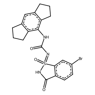 O=C(N=S1(=O)NC(=O)c2ccc(Br)cc21)Nc1c2c(cc3c1CCC3)CCC2